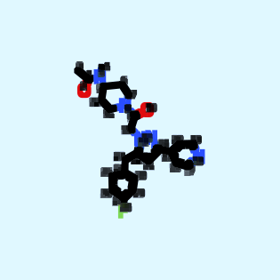 CC(=O)N(C)C1CCN(C(=O)Cn2nc(-c3ccncc3)cc2Cc2ccc(F)cc2)CC1